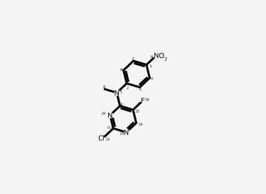 CN(c1ccc([N+](=O)[O-])cc1)c1nc(Cl)ncc1F